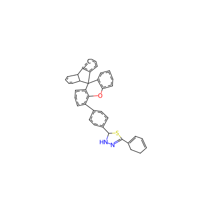 C1=CCCC(C2=NNC(c3ccc(-c4cccc5c4Oc4ccccc4C54c5ccccc5C5C=CC=CC54)cc3)S2)=C1